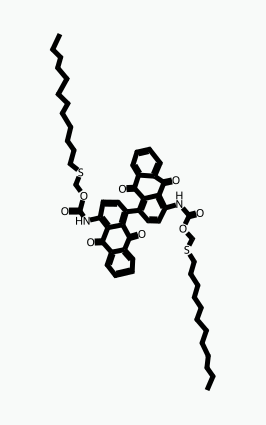 CCCCCCCCCCCCSCOC(=O)Nc1ccc(-c2ccc(NC(=O)OCSCCCCCCCCCCCC)c3c2C(=O)c2ccccc2C3=O)c2c1C(=O)c1ccccc1C2=O